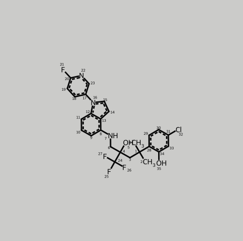 CC(C)(CC(O)(CNc1cccc2c1ccn2-c1ccc(F)nc1)C(F)(F)F)c1ccc(Cl)cc1O